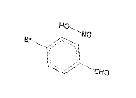 O=Cc1ccc(Br)cc1.O=NO